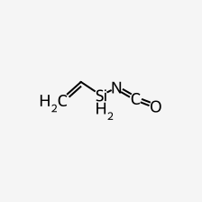 C=C[SiH2]N=C=O